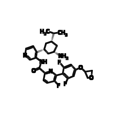 CC(C)[C@@H]1C[C@H](N)C[C@H](c2ccncc2NC(=O)c2ccc(F)c(-c3c(F)cc(OC4COC4)cc3F)n2)C1